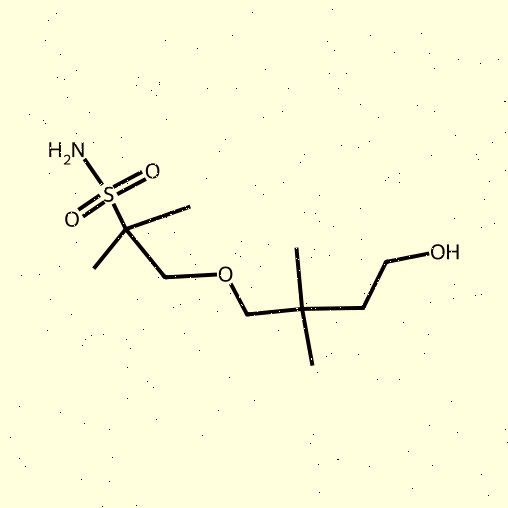 CC(C)(CCO)COCC(C)(C)S(N)(=O)=O